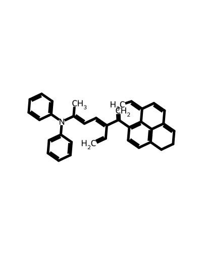 C=C/C(=C\C=C(/C)N(c1ccccc1)c1ccccc1)C(=C)c1ccc2c3c(cc/c(=C/C)c13)=CCC2